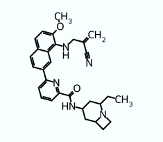 C=C(C#N)CNc1c(OC)ccc2ccc(-c3cccc(C(=O)NC4CC(CC)N5CCC5C4)n3)cc12